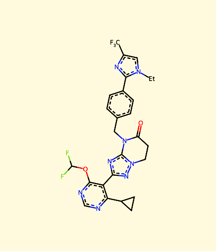 CCn1cc(C(F)(F)F)nc1-c1ccc(CN2C(=O)CCn3nc(-c4c(OC(F)F)ncnc4C4CC4)nc32)cc1